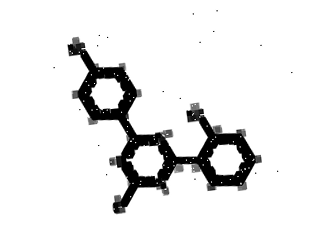 N#Cc1ccc(-c2nc(Cl)nc(-c3ccccc3C#N)n2)cc1